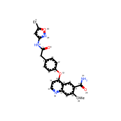 CCc1cc(NC(=O)Cc2ccc(Oc3ccnc4cc(OC)c(C(N)=O)cc34)cc2)no1